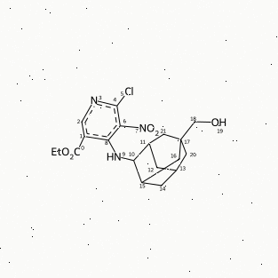 CCOC(=O)c1cnc(Cl)c([N+](=O)[O-])c1NC1C2CC3CC1CC(CO)(C3)C2